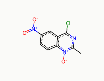 Cc1nc(Cl)c2cc([N+](=O)[O-])ccc2[n+]1[O-]